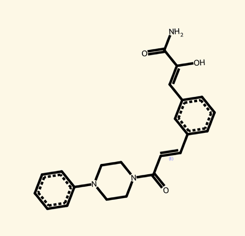 NC(=O)C(O)=Cc1cccc(/C=C/C(=O)N2CCN(c3ccccc3)CC2)c1